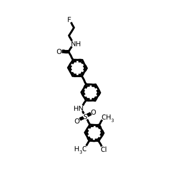 Cc1cc(S(=O)(=O)Nc2cccc(-c3ccc(C(=O)NCCF)cc3)c2)c(C)cc1Cl